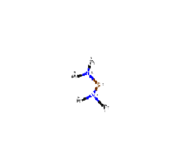 CC(C)N(SN(C(C)C)C(C)C)C(C)C